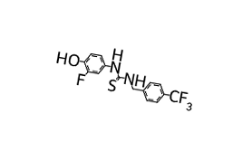 Oc1ccc(NC(=S)NCc2ccc(C(F)(F)F)cc2)cc1F